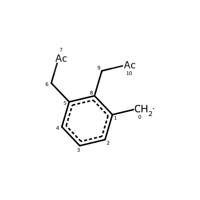 [CH2]c1cccc(CC(C)=O)c1CC(C)=O